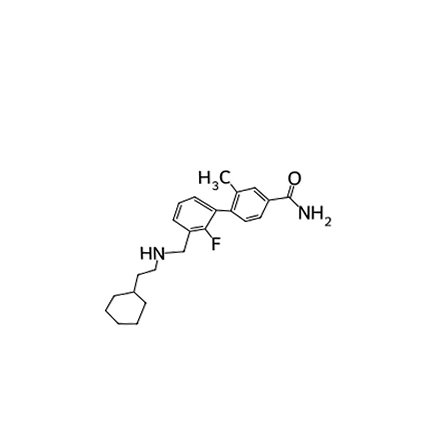 Cc1cc(C(N)=O)ccc1-c1cccc(CNCCC2CCCCC2)c1F